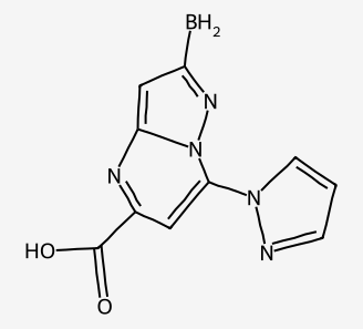 Bc1cc2nc(C(=O)O)cc(-n3cccn3)n2n1